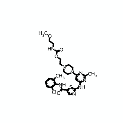 COCCNC(=O)OCCN1CCN(c2cc(Nc3ncc(C(=O)Nc4c(C)cccc4Cl)s3)nc(C)n2)CC1